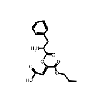 CCCOC(=O)/C(=C/C(=O)O)OC(=O)C(N)Cc1ccccc1